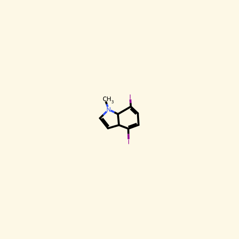 CN1C=CC2C(I)=CC=C(I)C21